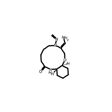 C=NN1CCCCC(=O)N[C@H]2CCCC[C@@H]2OC/C1=C/N